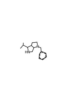 CC(C)C1NCC2C1CCN2Cc1ccccc1